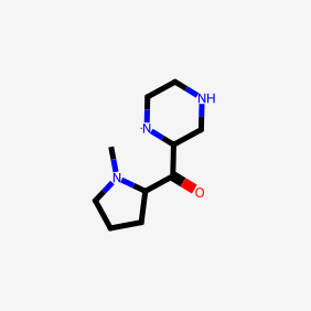 CN1CCCC1C(=O)C1CNCC[N]1